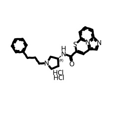 Cl.Cl.O=C(N[C@@H]1CCN(CCCc2ccccc2)C1)C1=Cc2cnc3cccc(n23)S1